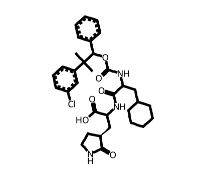 CC(C)(c1cccc(Cl)c1)C(OC(=O)NC(CC1CCCCC1)C(=O)NC(C[C@@H]1CCNC1=O)C(=O)O)c1ccccc1